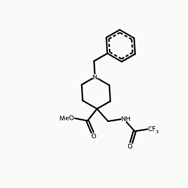 COC(=O)C1(CNC(=O)C(F)(F)F)CCN(Cc2ccccc2)CC1